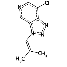 CC(C)=Cn1nnc2c(Cl)cncc21